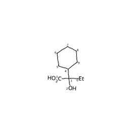 CCC(O)(C(=O)O)C1CCCCC1